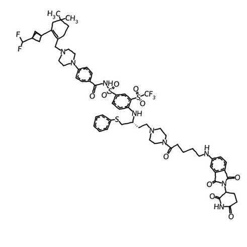 CC1(C)CCC(CN2CCN(c3ccc(C(=O)NS(=O)(=O)c4ccc(N[C@H](CCN5CCN(C(=O)CCCCNc6ccc7c(c6)C(=O)N(C6CCC(=O)NC6=O)C7=O)CC5)CSc5ccccc5)c(S(=O)(=O)C(F)(F)F)c4)cc3)CC2)=C(C23CC(C(F)F)(C2)C3)C1